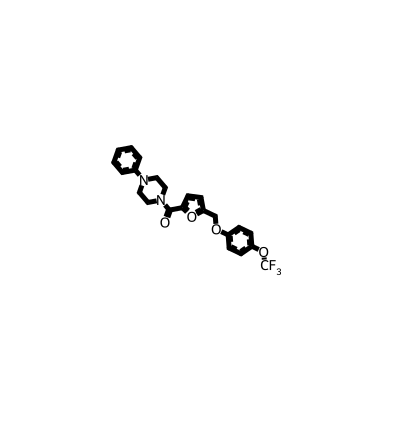 O=C(c1ccc(COc2ccc(OC(F)(F)F)cc2)o1)N1CCN(c2ccccc2)CC1